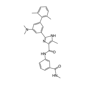 CNC(=O)c1cccc(NC(=O)c2nc(-c3cc(-c4c(C)cccc4C)cc(N(C)C)c3)[nH]c2C)c1